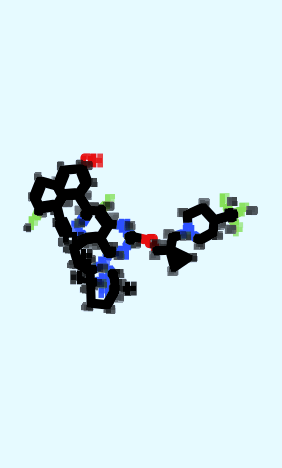 C#Cc1c(F)ccc2cc(O)cc(-c3nc4c5c(nc(OCC6(CN7CCC(C(F)(F)F)CC7)CC6)nc5c3F)N3C[C@H]5CC[C@H](N5)[C@H]3CC4)c12